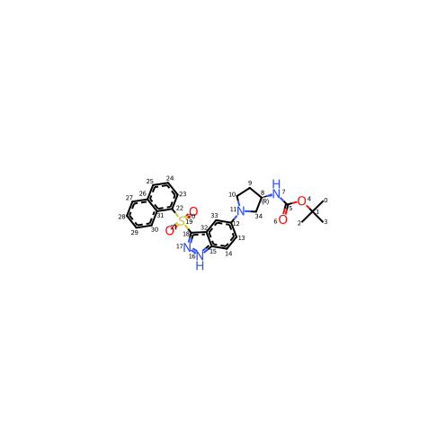 CC(C)(C)OC(=O)N[C@@H]1CCN(c2ccc3[nH]nc(S(=O)(=O)c4cccc5ccccc45)c3c2)C1